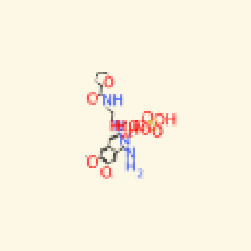 COc1cc2cc(N(C)CCCNC(=O)C3CCCO3)nc(N)c2cc1OC.O.O.O=S(=O)(O)O